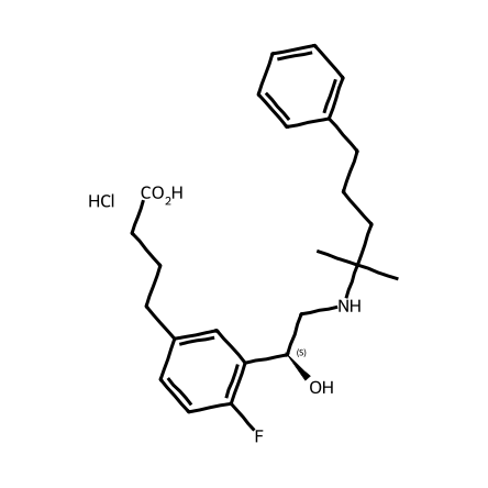 CC(C)(CCCc1ccccc1)NC[C@@H](O)c1cc(CCCC(=O)O)ccc1F.Cl